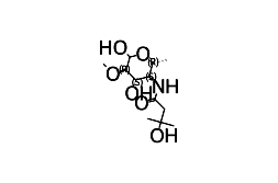 CO[C@H]1C(O)O[C@H](C)[C@@H](NC(=O)CC(C)(C)O)[C@@H]1O